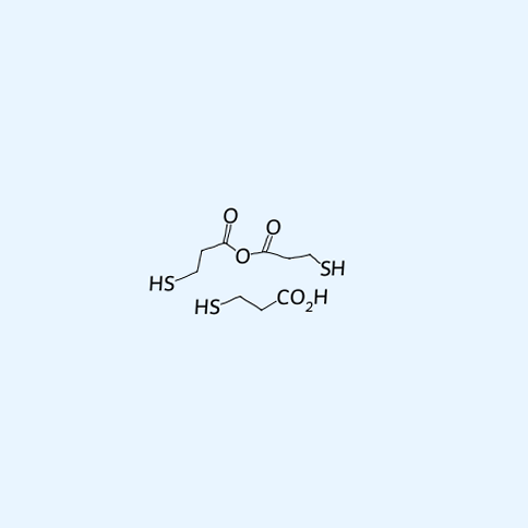 O=C(CCS)OC(=O)CCS.O=C(O)CCS